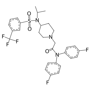 CC(C)N(C1CCN(CC(=O)N(c2ccc(F)cc2)c2ccc(F)cc2)CC1)S(=O)(=O)c1cccc(C(F)(F)F)c1